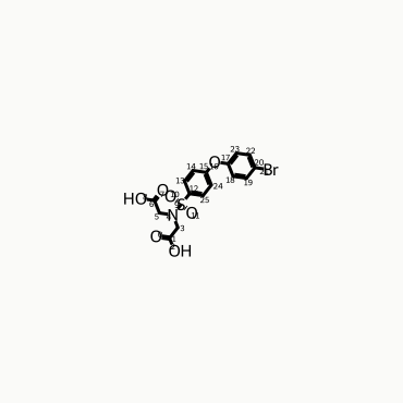 O=C(O)CN(CC(=O)O)S(=O)(=O)c1ccc(Oc2ccc(Br)cc2)cc1